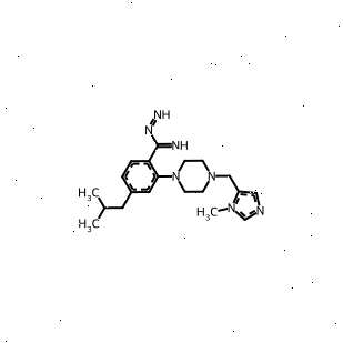 CC(C)Cc1ccc(C(=N)N=N)c(N2CCN(Cc3cncn3C)CC2)c1